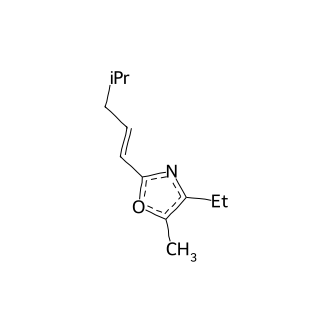 [CH2]Cc1nc(C=CCC(C)C)oc1C